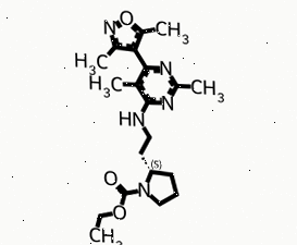 CCOC(=O)N1CCC[C@H]1CCNc1nc(C)nc(-c2c(C)noc2C)c1C